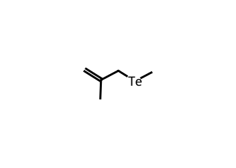 C=C(C)C[Te]C